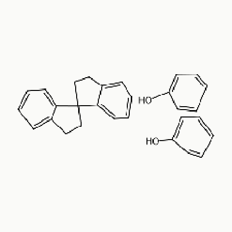 Oc1ccccc1.Oc1ccccc1.c1ccc2c(c1)CCC21CCc2ccccc21